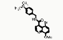 COc1ccc(Br)c2c(C(=O)NCc3ccc(N(C)C)cc3)ccnc12